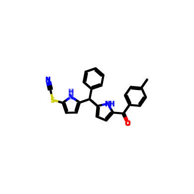 Cc1ccc(C(=O)c2ccc(C(c3ccccc3)c3ccc(SC#N)[nH]3)[nH]2)cc1